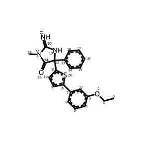 CCOc1cccc(-c2ccc(C3(c4ccccc4)NC(=N)N(C)C3=O)s2)c1